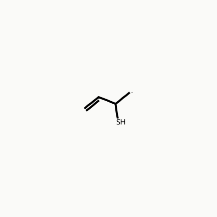 [CH2]C(S)C=C